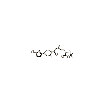 CC(CC[C@@H]1OC(C)(C)OC1=O)CC(=O)N1CCN(c2ccc(Cl)s2)C[C@H]1C